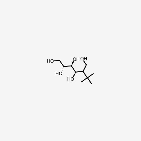 CC(C)(C)C(CO)[C@@H](O)[C@H](O)[C@H](O)CO